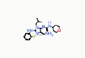 C=C(/N=C1\C(=C/N)N=C(Nc2ccccc2F)N1CC(C)C)NC1CCOCC1